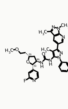 COCC[C@@H]1C[C@@H](NC(=O)Nc2c(C)c(-c3cnc4c(c3)c(C)nn4C)nn2-c2ccccc2)[C@H](c2ccnc(F)c2)O1